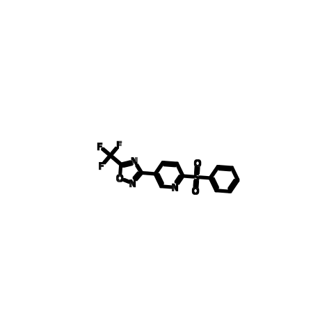 O=S(=O)(c1ccccc1)c1ccc(-c2noc(C(F)(F)F)n2)cn1